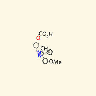 COc1cccc(-c2nn(C[C@H]3CC[C@@H](COCC(=O)O)CC3)c(C)c2-c2ccccc2)c1